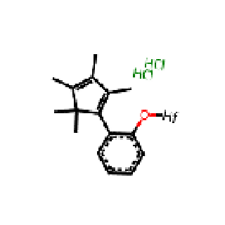 CC1=C(C)C(C)(C)C(c2ccccc2[O][Hf])=C1C.Cl.Cl